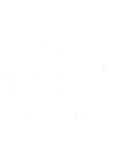 Cc1cc(C(C)(C)C)[c]c(-c2c(C)c(C)cc(C(C)(C)C)c2OC(=O)C(C)(C)C)c1C